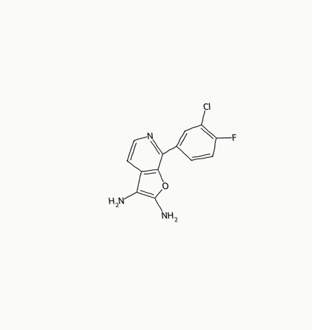 Nc1oc2c(-c3ccc(F)c(Cl)c3)nccc2c1N